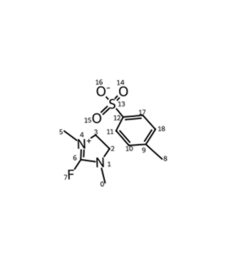 CN1CC[N+](C)=C1F.Cc1ccc(S(=O)(=O)[O-])cc1